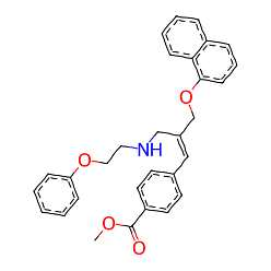 COC(=O)c1ccc(C=C(CNCCOc2ccccc2)COc2cccc3ccccc23)cc1